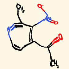 CC(=O)c1ccnc(C)c1[N+](=O)[O-]